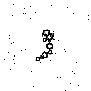 Cc1nc2cccnc2c(=O)n1-c1ccc(OC2CCN(C3CCC3)CC2)cc1